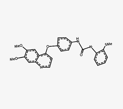 COc1cc2nccc(Oc3ccc(NC(=O)[N]c4ccccc4SC)cc3)c2cc1OC